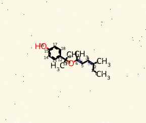 CC/C(C)=C\C=C(/C)OC(C)(C)c1ccc(O)cc1